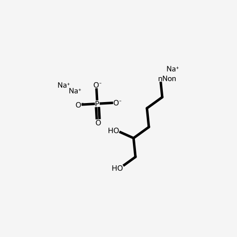 CCCCCCCCCCCCC(O)CO.O=P([O-])([O-])[O-].[Na+].[Na+].[Na+]